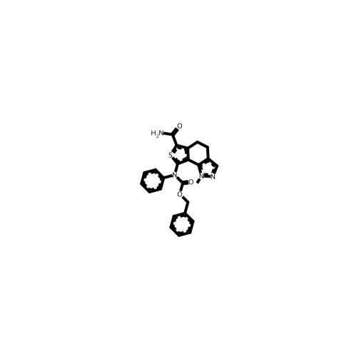 Cn1ncc2c1-c1c(N(C(=O)OCc3ccccc3)c3ccccc3)sc(C(N)=O)c1CC2